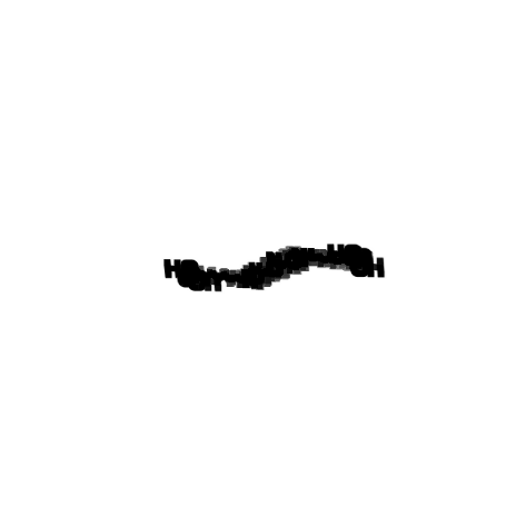 O=P(O)(O)CCCCCCCC[n+]1ccc(-c2ccc(-c3cc[n+](CCCCCCCCP(=O)(O)O)cc3)nc2)cc1